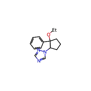 CCOC1(c2ccccc2)CCCC1n1cncn1